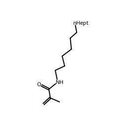 C=C(C)C(=O)NCCCCCCCCCCCCC